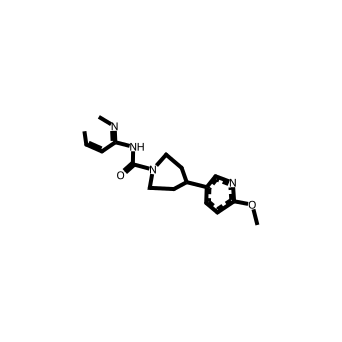 C/C=C\C(=N/C)NC(=O)N1CCC(c2ccc(OC)nc2)CC1